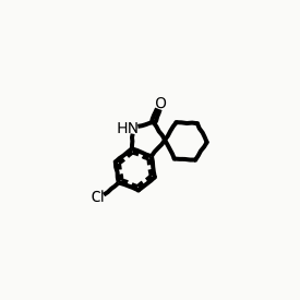 O=C1Nc2cc(Cl)ccc2C12CCCCC2